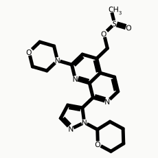 CS(=O)OCc1cc(N2CCOCC2)nc2c(-c3ccnn3C3CCCCO3)nccc12